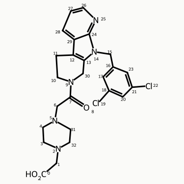 O=C(O)CN1CCN(CC(=O)N2CCc3c(n(Cc4cc(Cl)cc(Cl)c4)c4ncccc34)C2)CC1